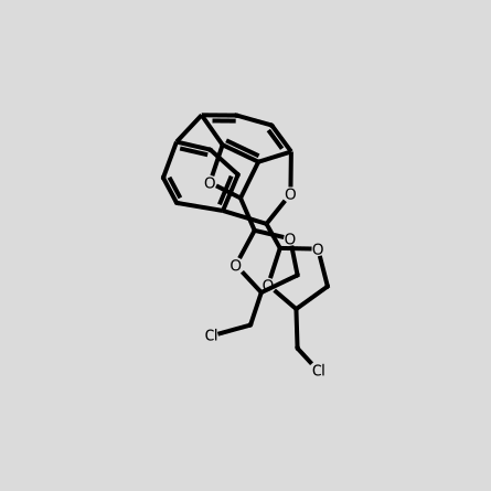 ClCC1COC(C2Oc3ccc(c4c3C(C3OCC(CCl)O3)O4)-c3ccc2cc3)O1